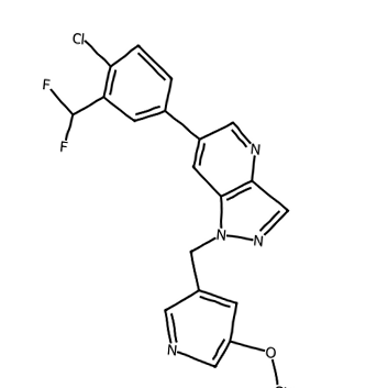 COc1cncc(Cn2ncc3ncc(-c4ccc(Cl)c(C(F)F)c4)cc32)c1